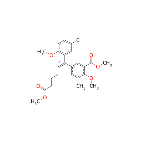 COC(=O)CCC/C=C(\c1cc(C)c(OC)c(C(=O)OC)c1)c1cc(Cl)ccc1OC